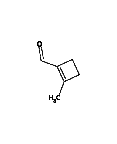 CC1=C(C=O)CC1